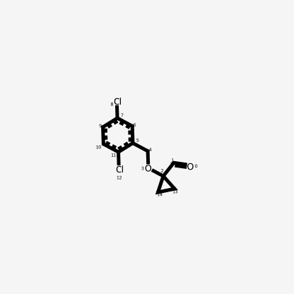 O=[C]C1(OCc2cc(Cl)ccc2Cl)CC1